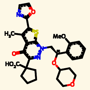 COc1ccccc1[C@H](Cn1nc(C2(C(=O)O)CCCC2)c(=O)c2c(C)c(-c3ncco3)sc21)OC1CCOCC1